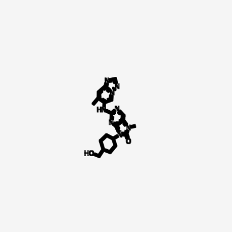 Cc1cc2ncnn2cc1Nc1ncc2c(n1)n(C1CCC(CO)CC1)c(=O)n2C